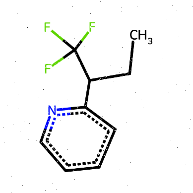 CCC(c1ccccn1)C(F)(F)F